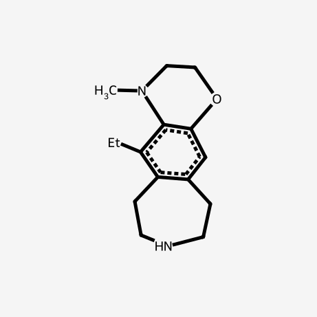 CCc1c2c(cc3c1N(C)CCO3)CCNCC2